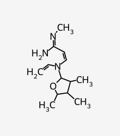 C=CN(/C=C\C(N)=N/C)C1OC(C)C(C)C1C